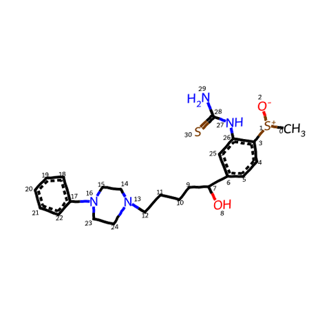 C[S+]([O-])c1ccc(C(O)CCCCN2CCN(c3ccccc3)CC2)cc1NC(N)=S